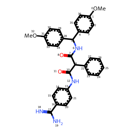 COc1ccc(C(NC(=O)C(C(=O)Nc2ccc(C(=N)N)cc2)c2ccccc2)c2ccc(OC)cc2)cc1